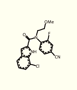 COCCN(C(=O)c1cc2cccc(Cl)c2[nH]1)c1ccc(C#N)cc1F